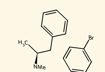 Brc1c[c]ccc1.CN[C@@H](C)Cc1ccccc1